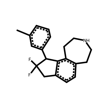 Cc1cccc(C2c3c(ccc4c3CCNCC4)CC2(F)F)c1